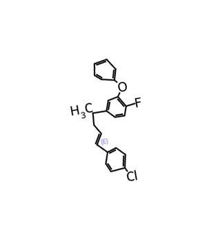 CC(C/C=C/c1ccc(Cl)cc1)c1ccc(F)c(Oc2ccccc2)c1